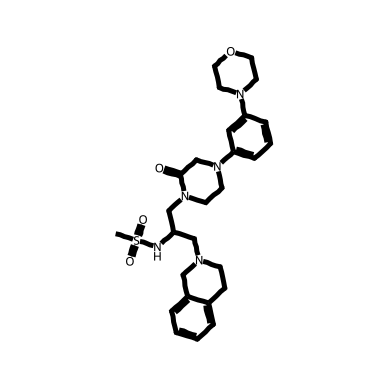 CS(=O)(=O)NC(CN1CCc2ccccc2C1)CN1CCN(c2cccc(N3CCOCC3)c2)CC1=O